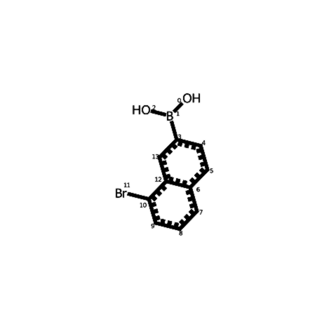 OB(O)c1ccc2cccc(Br)c2c1